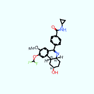 COc1cc2c(cc1OC(F)F)[C@H]1C[C@H](O)CC[C@H]1N=C2c1ccc(C(=O)NC2CC2)cc1